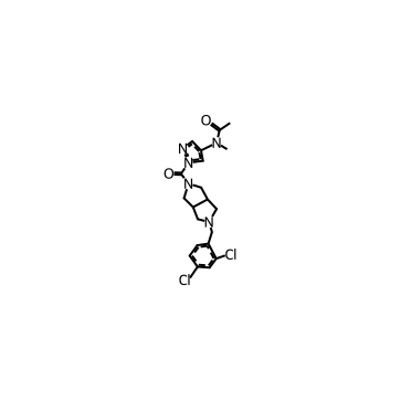 CC(=O)N(C)c1cnn(C(=O)N2CC3CN(Cc4ccc(Cl)cc4Cl)CC3C2)c1